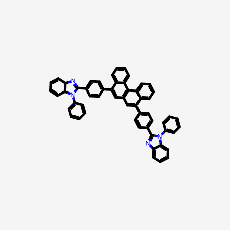 C1=CC2N=C(c3ccc(-c4cc5cc(-c6ccc(-c7nc8ccccc8n7-c7ccccc7)cc6)c6ccccc6c5c5ccccc45)cc3)N(c3ccccc3)C2C=C1